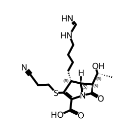 C[C@@H](O)[C@H]1C(=O)N2C(C(=O)O)=C(SCCC#N)[C@H](CCCCNC=N)[C@H]12